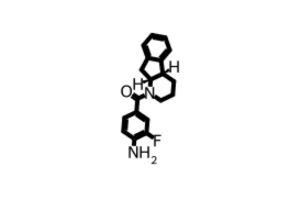 Nc1ccc(C(=O)N2CCC[C@H]3c4ccccc4C[C@H]32)cc1F